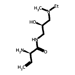 C=C[C@@H](N)C(=O)NC[C@@H](O)CN(C)CC